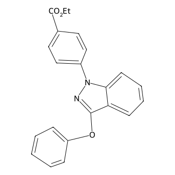 CCOC(=O)c1ccc(-n2nc(Oc3ccccc3)c3ccccc32)cc1